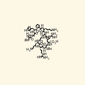 CC[C@H](C)[C@H](N)C(=O)N[C@@H](C)C(=O)N[C@@H](Cc1c[nH]cn1)C(=O)N1CCC[C@H]1C(=O)N[C@@H](CCCCN)C(=O)N[C@@H](CC(C)C)C(=O)NCC(=O)N[C@@H](CCCCN)C(=O)N[C@@H](CCCNC(=N)N)C(=O)N[C@H](C(=O)N[C@@H](CCCNC(=N)N)C(=O)O)[C@@H](C)CC